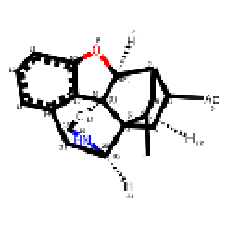 CC(=O)C1CC23[C@H](C)CC1[C@@H]1Oc4cccc5c4[C@@]12CCN[C@@H]3C5